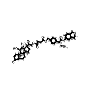 C[C@]12C=CC(=O)C=C1CC[C@H]1[C@@H]3CC[C@](O)(C(=O)COC(=O)CCC(=O)OCc4ccc([C@@H](CN)C(=O)Nc5ccc6cnccc6c5)cc4)[C@@]3(C)C[C@H](O)[C@@]12F